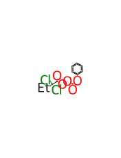 CCC(Cl)(Cl)C(=O)OOC(=O)Oc1ccccc1